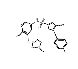 Cc1ccc(-c2sc(S(=O)(=O)Nc3ccc(Cl)c(O[C@@H]4CCN(C)C4)c3)cc2Cl)cc1